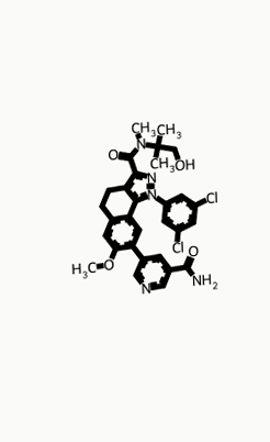 COc1cc2c(cc1-c1cncc(C(N)=O)c1)-c1c(c(C(=O)N(C)C(C)(C)CO)nn1-c1cc(Cl)cc(Cl)c1)CC2